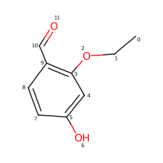 CCOc1cc(O)ccc1C=O